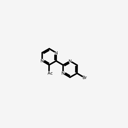 CC(=O)c1nccnc1-c1ncc(Br)cn1